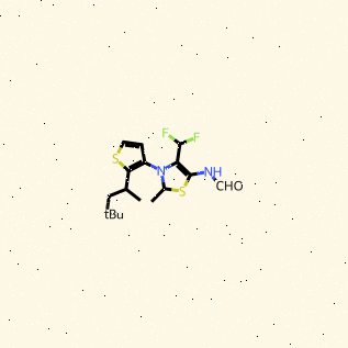 CC(CC(C)(C)C)c1sccc1N1C(C(F)F)=C(NC=O)SC1C